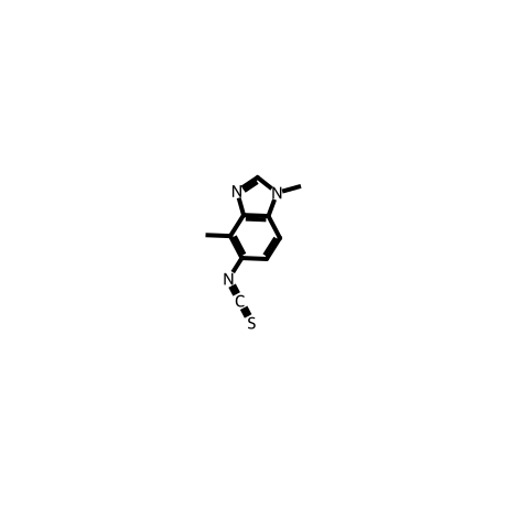 Cc1c(N=C=S)ccc2c1ncn2C